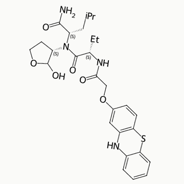 CC[C@H](NC(=O)COc1ccc2c(c1)Nc1ccccc1S2)C(=O)N([C@@H](CC(C)C)C(N)=O)[C@H]1CCOC1O